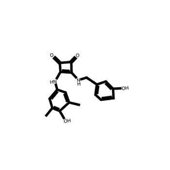 Cc1cc(Nc2c(NCc3cccc(O)c3)c(=O)c2=O)cc(C)c1O